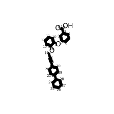 O=C(O)c1cccc(Oc2ccccc2OCC#Cc2ccc(-c3ccccc3)cc2)c1